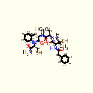 CC(C)(S)[C@H](NC(=O)Cc1ccccc1)C(=O)N[C@@H](CC(=O)O)C(=O)N[C@@H](Cc1ccccc1)C(=O)N[C@@H](CS)C(N)=O